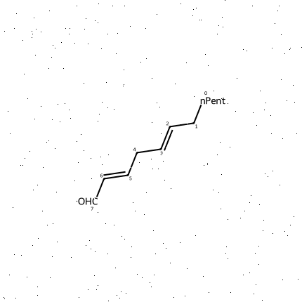 CCCCCCC=CCC=C[C]=O